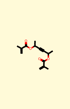 C=C(C)C(=O)OC(C)C#CC(C)OC(=O)C(=C)C